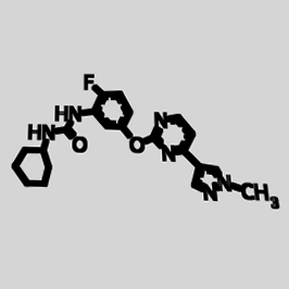 Cn1cc(-c2ccnc(Oc3ccc(F)c(NC(=O)NC4CCCCC4)c3)n2)cn1